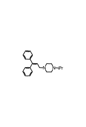 CC(C)N1CCN(CC=C(c2ccccc2)c2ccccc2)CC1